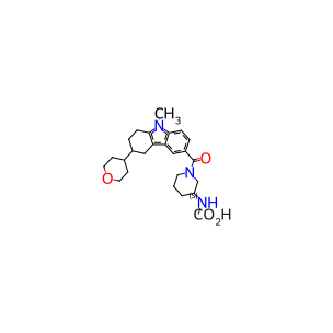 Cn1c2c(c3cc(C(=O)N4CCC[C@H](NC(=O)O)C4)ccc31)CC(C1CCOCC1)CC2